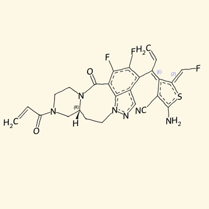 C=CC(=O)N1CCN2C(=O)c3c(F)c(F)c(/C(C=C)=c4\c(C#N)c(N)s\c4=C/F)c4cnn(c34)CC[C@@H]2C1